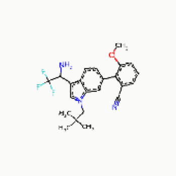 COc1cccc(C#N)c1-c1ccc2c(C(N)C(F)(F)F)cn(CC(C)(C)C)c2c1